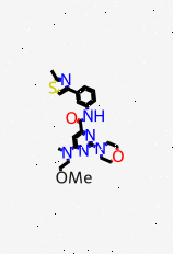 COCCN(C)c1cc(C(=O)Nc2cccc(-c3csc(C)n3)c2)nc(N2CCOCC2)n1